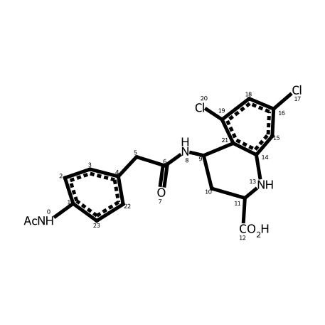 CC(=O)Nc1ccc(CC(=O)NC2CC(C(=O)O)Nc3cc(Cl)cc(Cl)c32)cc1